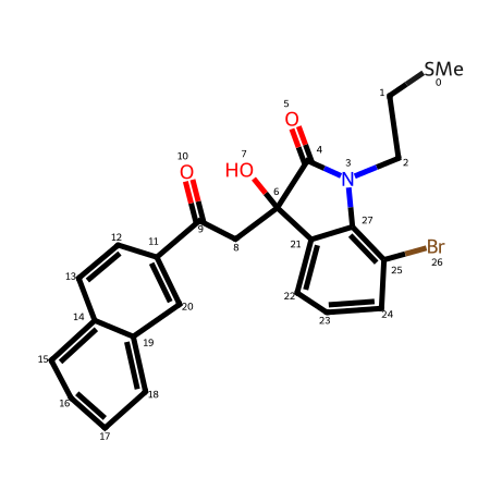 CSCCN1C(=O)C(O)(CC(=O)c2ccc3ccccc3c2)c2cccc(Br)c21